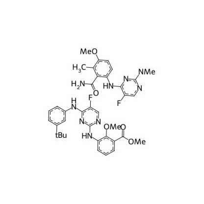 CNc1ncc(F)c(Nc2ccc(OC)c(C)c2C(N)=O)n1.COC(=O)c1cccc(Nc2ncc(F)c(Nc3cccc(C(C)(C)C)c3)n2)c1OC